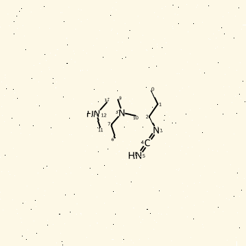 CCCN=C=N.CCN(C)C.CNC